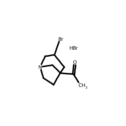 Br.CC(=O)C12CCN(CC(Br)C1)C2